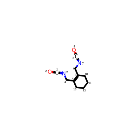 O=C=NCC1=C(CN=C=O)CCCC1